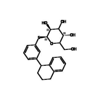 OCC1O[C@@H](Sc2cccc(C3CCCc4ccccc43)c2)[C@@H](O)C(O)[C@@H]1O